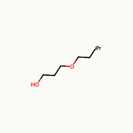 CC(C)CCOCCCO